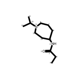 CCC(=O)NC1CCCN(C(C)C)CC1